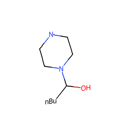 CCCCC(O)N1CC[N]CC1